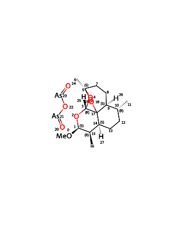 CO[C@H]1O[C@@H]2O[C@]3(C)CC[C@H]4[C@H](C)CC[C@@H]([C@H]1C)C24OO3.O=[As]O[As]=O